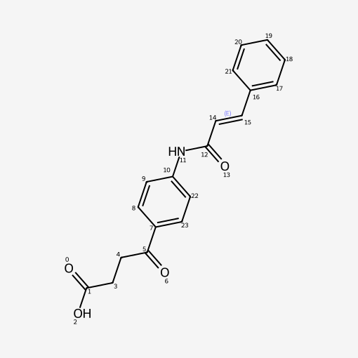 O=C(O)CCC(=O)c1ccc(NC(=O)/C=C/c2ccccc2)cc1